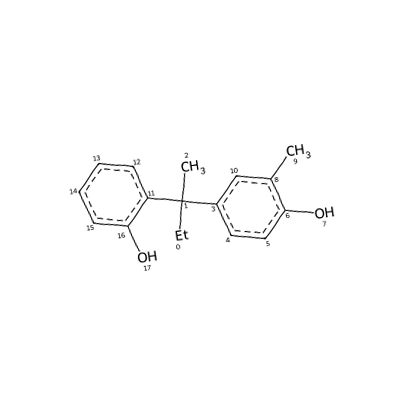 CCC(C)(c1ccc(O)c(C)c1)c1ccccc1O